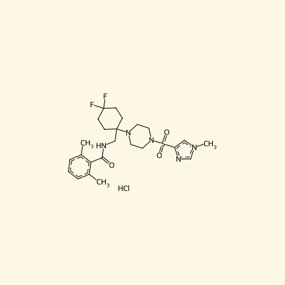 Cc1cccc(C)c1C(=O)NCC1(N2CCN(S(=O)(=O)c3cn(C)cn3)CC2)CCC(F)(F)CC1.Cl